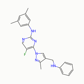 Cc1cc(C)cc(Nc2ncc(F)c(-n3cc(CNc4ccccc4)c(C)n3)n2)c1